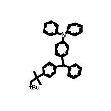 CC(C)(C)CC(C)(C)c1ccc(C(c2ccccc2)c2ccc(N(c3ccccc3)c3ccccc3)cc2)cc1